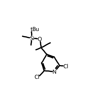 CC(C)(O[Si](C)(C)C(C)(C)C)c1cc(Cl)nc(Cl)c1